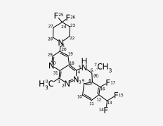 Cc1nnc(N[C@H](C)c2cccc(C(F)F)c2F)c2cc(N3CCC(F)(F)CC3)cnc12